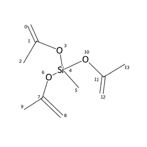 C=C(C)O[Si](C)(OC(=C)C)OC(=C)C